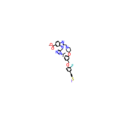 COC(=O)c1ccc2nc(CN3CCC(Oc4cccc(COc5ccc(C#CSI)cc5F)c4)CC3)n(Cc3cncn3C(C)C)c2c1